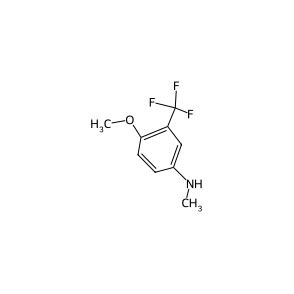 CNc1ccc(OC)c(C(F)(F)F)c1